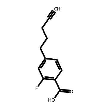 C#CCCCc1ccc(C(=O)O)c(F)c1